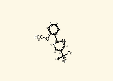 COc1ccccc1-c1ncc(C(F)(F)F)cn1